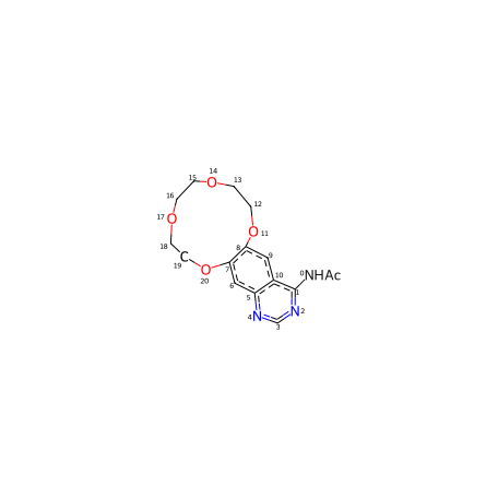 CC(=O)Nc1ncnc2cc3c(cc12)OCCOCCOCCO3